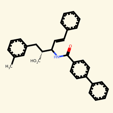 Cc1cccc(C[C@@H](C(=O)O)C(/C=C/c2ccccc2)NC(=O)c2ccc(-c3ccccc3)cc2)c1